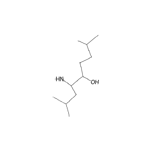 CC(C)CCC(O)C([NH])CC(C)C